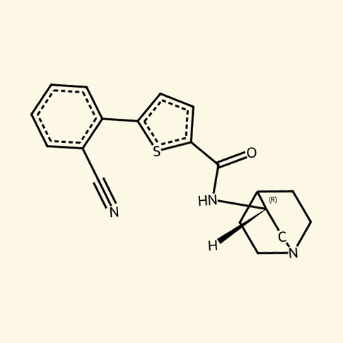 N#Cc1ccccc1-c1ccc(C(=O)N[C@H]2CN3CCC2CC3)s1